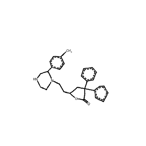 Cc1ccc(C2CNCCN2CCC2CC(c3ccccc3)(c3ccccc3)C(=O)O2)cc1